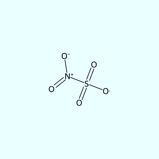 [O]S(=O)(=O)[N+](=O)[O-]